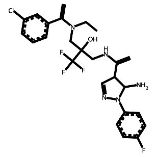 C=C(NCC(O)(CN(CC)C(=C)c1cccc(Cl)c1)C(F)(F)F)C1C=NN(c2ccc(F)cc2)C1N